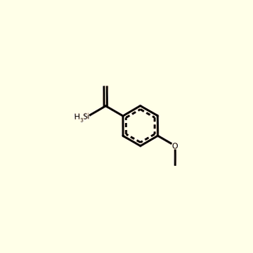 C=C([SiH3])c1ccc(OC)cc1